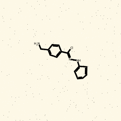 NCc1ccc(C(Cl)=NNc2ccccc2)cc1